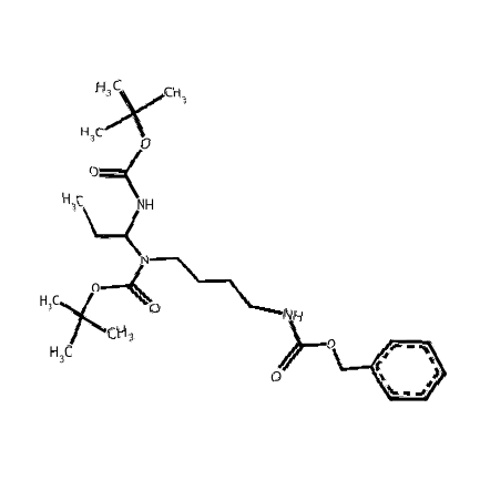 CCC(NC(=O)OC(C)(C)C)N(CCCCNC(=O)OCc1ccccc1)C(=O)OC(C)(C)C